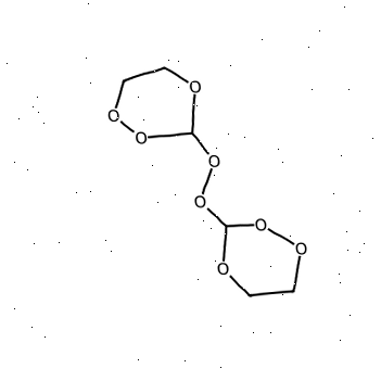 C1COC(OOC2OCCOO2)OO1